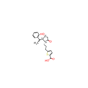 C=C(c1ccccc1)[C@H]1[C@H](O)CC(=O)[C@@H]1CCCc1ccc(C(=O)O)s1